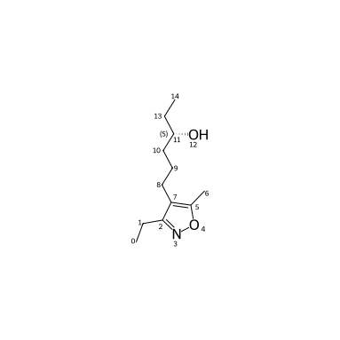 CCc1noc(C)c1CCC[C@@H](O)CC